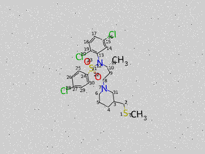 CSCC1CCCN(CC[C@@H](C)N(c2cc(Cl)ccc2Cl)S(=O)(=O)c2ccc(Cl)cc2)C1